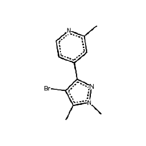 Cc1cc(-c2nn(C)c(C)c2Br)ccn1